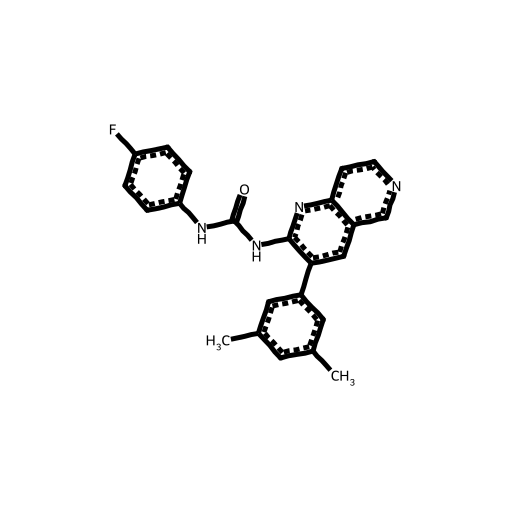 Cc1cc(C)cc(-c2cc3cnccc3nc2NC(=O)Nc2ccc(F)cc2)c1